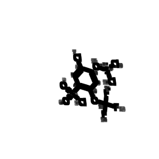 O=S(=O)(Cl)c1cc(Cl)ccc1OC(F)(F)F.[O-][S+](Cl)Cl